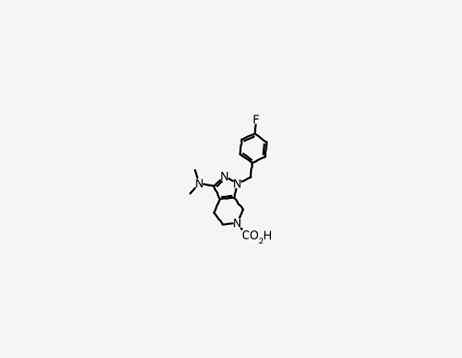 CN(C)c1nn(Cc2ccc(F)cc2)c2c1CCN(C(=O)O)C2